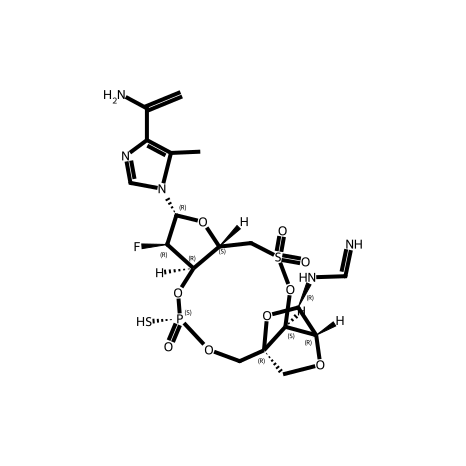 C=C(N)c1ncn([C@@H]2O[C@@H]3CS(=O)(=O)O[C@H]4[C@H]5OC[C@]4(CO[P@](=O)(S)O[C@H]3[C@H]2F)O[C@H]5NC=N)c1C